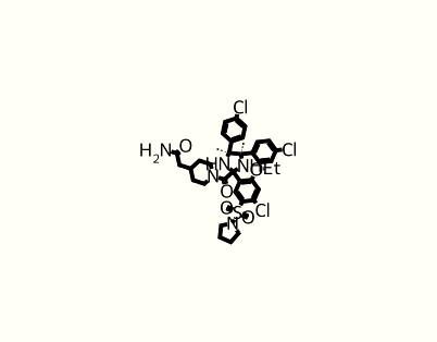 CCOc1cc(Cl)c(S(=O)(=O)N2CCCC2)cc1C1(C(=O)N2CCC(CC(N)=O)CC2)N[C@@](C)(c2ccc(Cl)cc2)[C@@](C)(c2ccc(Cl)cc2)N1